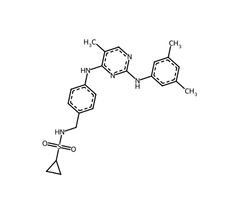 Cc1cc(C)cc(Nc2ncc(C)c(Nc3ccc(CNS(=O)(=O)C4CC4)cc3)n2)c1